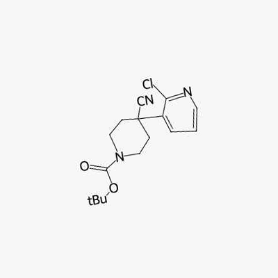 CC(C)(C)OC(=O)N1CCC(C#N)(c2cccnc2Cl)CC1